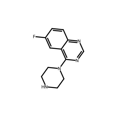 Fc1ccc2ncnc(N3CCNCC3)c2c1